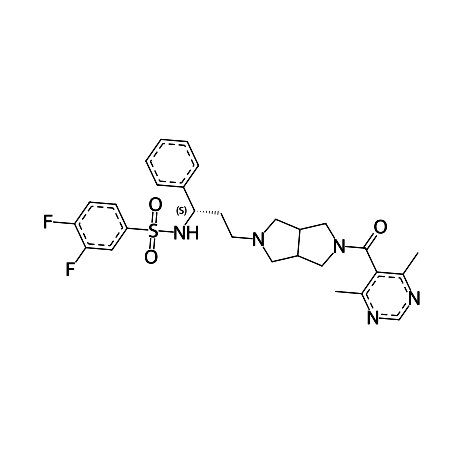 Cc1ncnc(C)c1C(=O)N1CC2CN(CC[C@H](NS(=O)(=O)c3ccc(F)c(F)c3)c3ccccc3)CC2C1